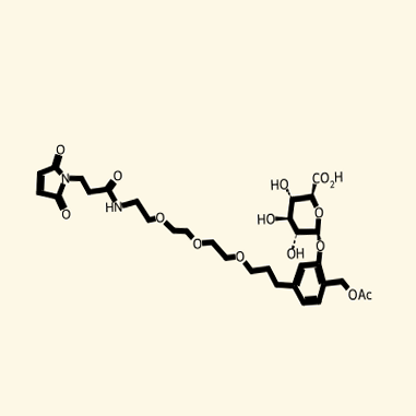 CC(=O)OCc1ccc(CCCOCCOCCOCCNC(=O)CCN2C(=O)C=CC2=O)cc1O[C@@H]1O[C@H](C(=O)O)[C@@H](O)[C@H](O)[C@H]1O